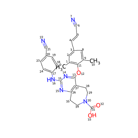 Cc1cc(C=CC#N)cc(C)c1Oc1nc(Nc2ccc(C#N)cc2)nc2c1CCN(C(=O)O)CC2